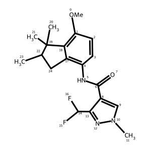 COc1ccc(NC(=O)c2cn(C)nc2C(F)F)c2c1C(C)(C)C(C)C2